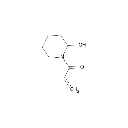 C=CC(=O)N1CCCCC1O